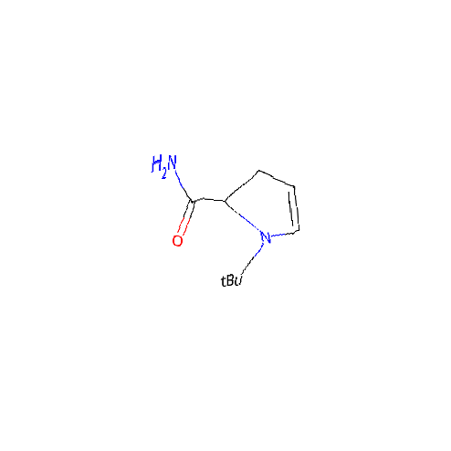 CC(C)(C)N1C=CCC1C(N)=O